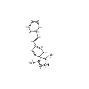 OB(O)C1(B(O)O)C=CC(C=Cc2ccccc2)=CC1